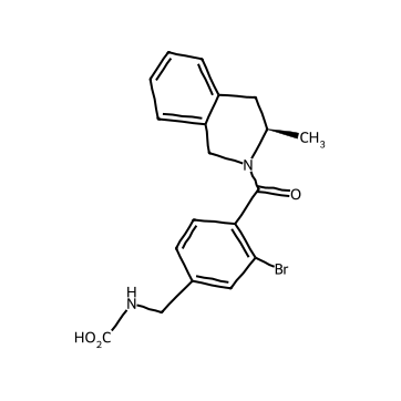 C[C@@H]1Cc2ccccc2CN1C(=O)c1ccc(CNC(=O)O)cc1Br